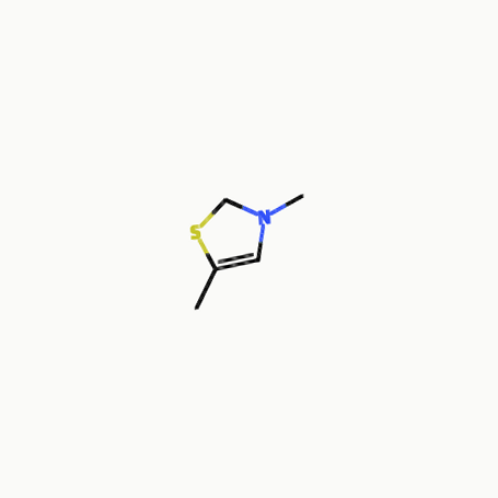 CC1=CN(C)CS1